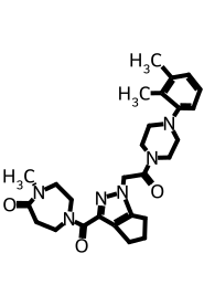 Cc1cccc(N2CCN(C(=O)Cn3nc(C(=O)N4CCC(=O)N(C)CC4)c4c3CCC4)CC2)c1C